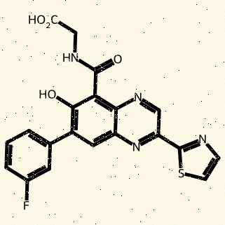 O=C(O)CNC(=O)c1c(O)c(-c2cccc(F)c2)cc2nc(-c3nccs3)cnc12